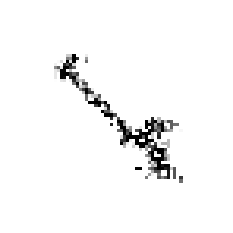 Cn1nnc(-c2cc(C(=O)NCCOCCOCCOCCOCCNC(=O)OC(C)(C)C)ccc2Nc2ccc(C(C)(F)P)cc2)n1